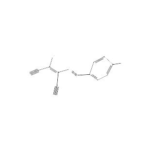 N#C/C(N)=C(\C#N)N=Cc1ccc(Br)cc1